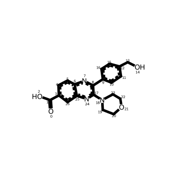 O=C(O)c1ccc2nc(-c3ccc(CO)cc3)c(N3CCOCC3)nc2c1